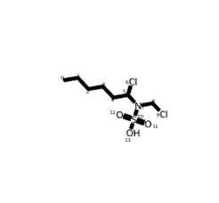 CCCCCC(Cl)N(CCl)S(=O)(=O)O